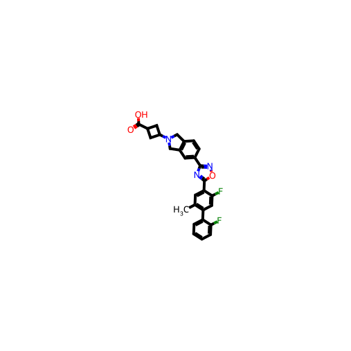 Cc1cc(-c2nc(-c3ccc4c(c3)CN(C3CC(C(=O)O)C3)C4)no2)c(F)cc1-c1ccccc1F